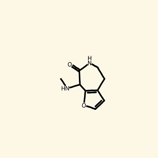 CNC1C(=O)NCCc2ccoc21